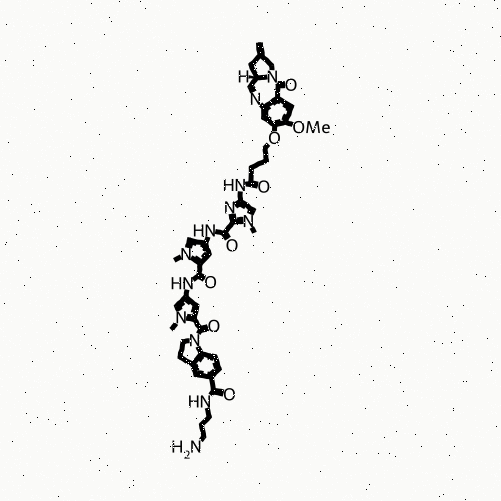 C=C1C[C@H]2C=Nc3cc(OCCCC(=O)Nc4cn(C)c(C(=O)Nc5cc(C(=O)Nc6cc(C(=O)N7CCc8cc(C(=O)NCCCN)ccc87)n(C)c6)n(C)c5)n4)c(OC)cc3C(=O)N2C1